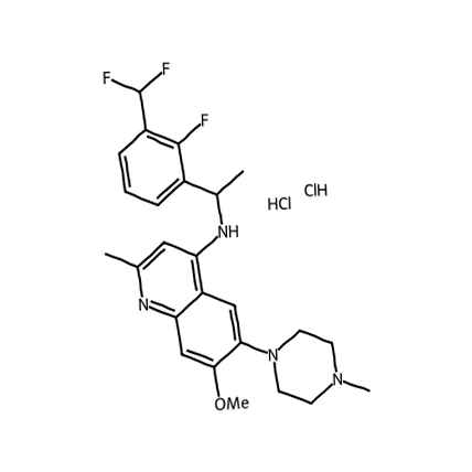 COc1cc2nc(C)cc(NC(C)c3cccc(C(F)F)c3F)c2cc1N1CCN(C)CC1.Cl.Cl